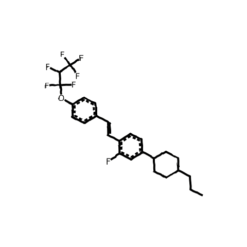 CCCC1CCC(c2ccc(C=Cc3ccc(OC(F)(F)C(F)C(F)(F)F)cc3)c(F)c2)CC1